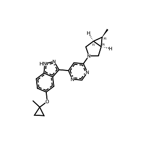 C[C@H]1[C@H]2CN(c3cc(-c4n[nH]c5ccc(OC6(C)CC6)cc45)ncn3)C[C@@H]12